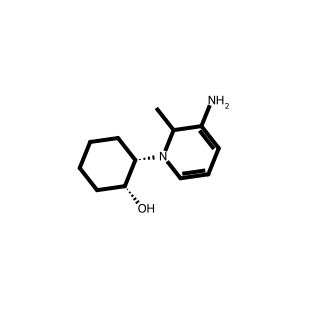 CC1C(N)=CC=CN1[C@H]1CCCC[C@H]1O